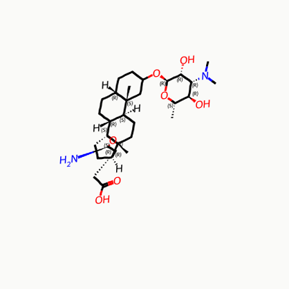 C[C@@H]1O[C@@H](OC2CC[C@H]3CC[C@@H]4[C@H](CC[C@]5(C)[C@@H]6CC[C@]45O[C@H](N)[C@@H]6CC(=O)O)[C@@]3(C)C2)[C@H](O)[C@H](N(C)C)[C@H]1O